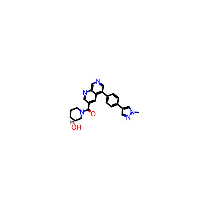 Cn1cc(-c2ccc(-c3cncc4ncc(C(=O)N5CCC[C@@H](O)C5)cc34)cc2)cn1